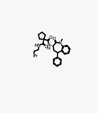 CC(C)CCNC(=O)C1(C(=O)N[C@H]2CC(c3ccccc3)c3ccccc3N(C)C2=O)CCCC1